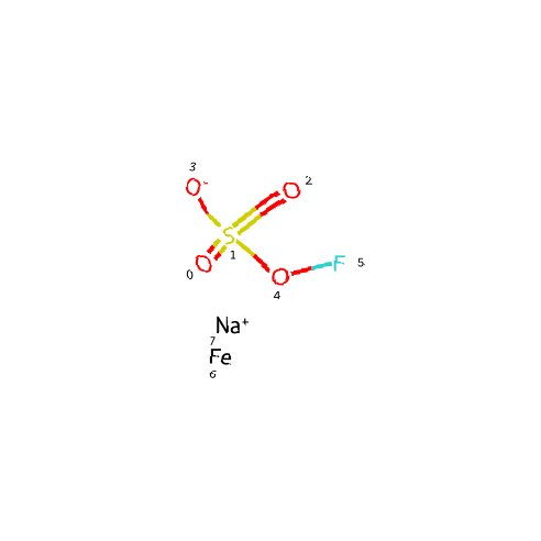 O=S(=O)([O-])OF.[Fe].[Na+]